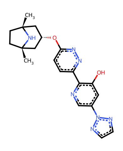 C[C@]12CC[C@](C)(C[C@H](Oc3ccc(-c4ncc(-n5nccn5)cc4O)nn3)C1)N2